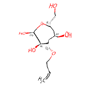 C=CCO[C@@H]1[C@@H](O)[C@@H](O)O[C@H](CO)[C@H]1O